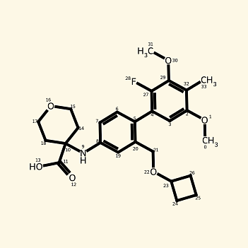 COc1cc(-c2ccc(NC3(C(=O)O)CCOCC3)cc2COC2CCC2)c(F)c(OC)c1C